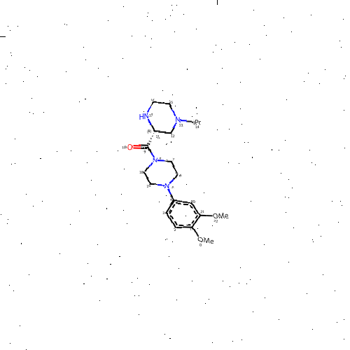 COc1ccc(N2CCN(C(=O)[C@H]3CN(C(C)C)CCN3)CC2)cc1OC